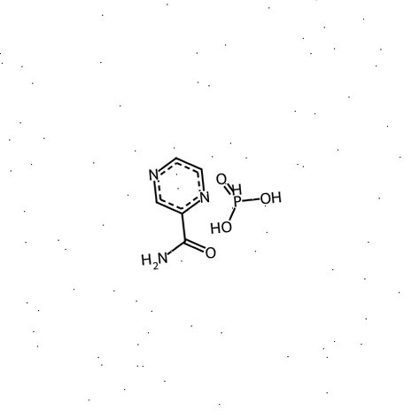 NC(=O)c1cnccn1.O=[PH](O)O